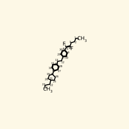 CCCCC(F)=C(F)c1ccc(CCc2ccc(C3CCC(CCC)CC3)cc2)cc1